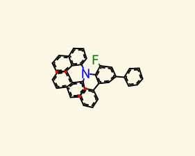 Fc1cc(-c2ccccc2)cc(-c2ccccc2)c1N(c1cccc2ccccc12)c1cccc2ccccc12